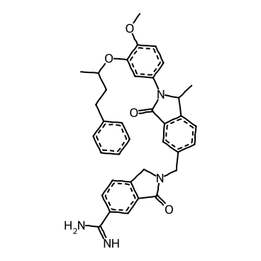 COc1ccc(N2C(=O)c3cc(CN4Cc5ccc(C(=N)N)cc5C4=O)ccc3C2C)cc1OC(C)CCc1ccccc1